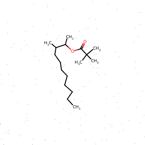 CCCCCCCCC(C)C(C)OC(=O)C(C)(C)C